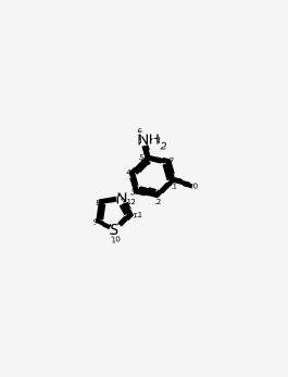 Cc1cccc(N)c1.c1cscn1